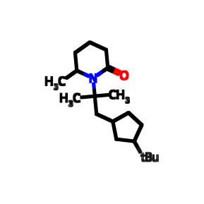 CC1CCCC(=O)N1C(C)(C)CC1CCC(C(C)(C)C)C1